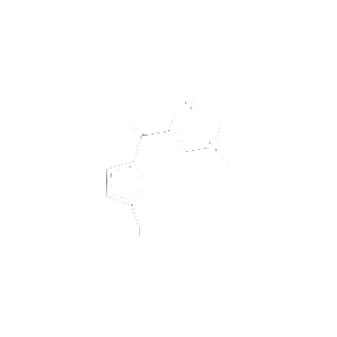 CN(C)C=C(C#N)C(=O)c1ccc(I)s1